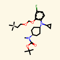 CN(C(=O)OC(C)(C)C)[C@H]1CC[C@@H](N(c2ccc(F)cc2OCOCC[Si](C)(C)C)C2CC2)CC1